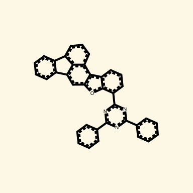 c1ccc(-c2nc(-c3ccccc3)nc(-c3cccc4c3oc3cc5c6c(cccc6c34)-c3ccccc3-5)n2)cc1